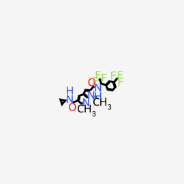 CCn1c(C(=O)NC(c2cccc(C(F)(F)F)c2)C(F)(F)F)cc2cc(C(=O)NC3CC3)c(C)nc21